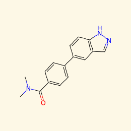 CN(C)C(=O)c1ccc(-c2ccc3[nH]ncc3c2)cc1